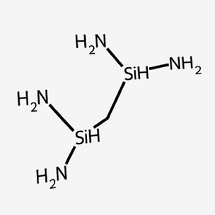 N[SiH](N)C[SiH](N)N